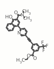 CCOC(=O)c1cc(C#Cc2ccc(-c3cc(C(=O)N(C)C)c(O)c4ccccc34)nc2)cc(C(F)(F)F)c1